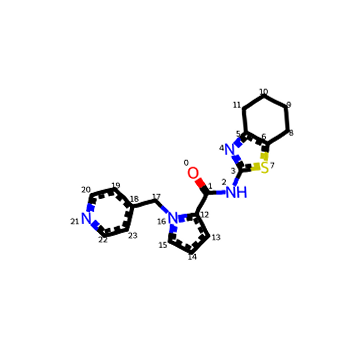 O=C(Nc1nc2c(s1)CCCC2)c1cccn1Cc1ccncc1